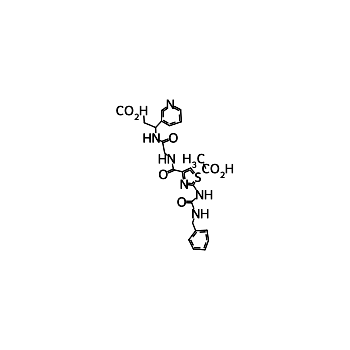 CC(=O)O.O=C(O)CC(NC(=O)CNC(=O)c1csc(NC(=O)NCc2ccccc2)n1)c1cccnc1